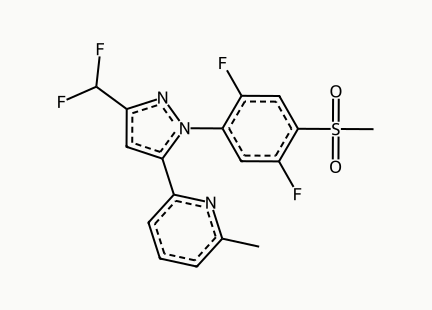 Cc1cccc(-c2cc(C(F)F)nn2-c2cc(F)c(S(C)(=O)=O)cc2F)n1